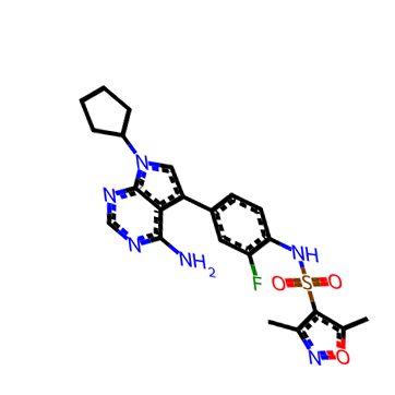 Cc1noc(C)c1S(=O)(=O)Nc1ccc(-c2cn(C3CCCC3)c3ncnc(N)c23)cc1F